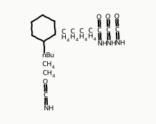 C.C.C.C.C.C.CCCCC1CCCCC1.N=C=O.N=C=O.N=C=O.N=C=O